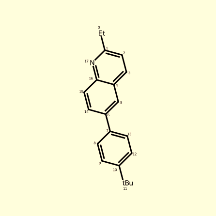 CCc1ccc2cc(-c3ccc(C(C)(C)C)cc3)ccc2n1